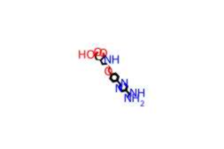 N=C(N)c1cnc(-c2ccc(OC[C@@H]3C[C@@H](CC(=O)O)C(=O)N3)cc2)nc1